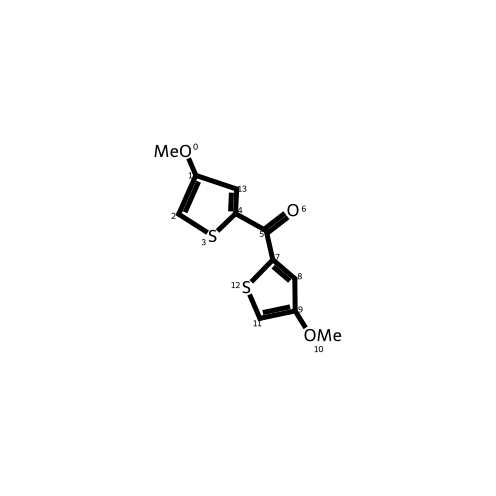 COc1csc(C(=O)c2cc(OC)cs2)c1